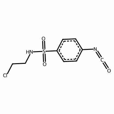 O=C=Nc1ccc(S(=O)(=O)NCCCl)cc1